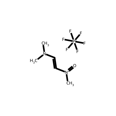 CN(C)C=C[N+](C)=O.F[P-](F)(F)(F)(F)F